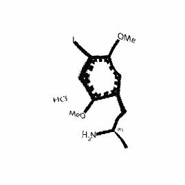 COc1cc(C[C@@H](C)N)c(OC)cc1I.Cl